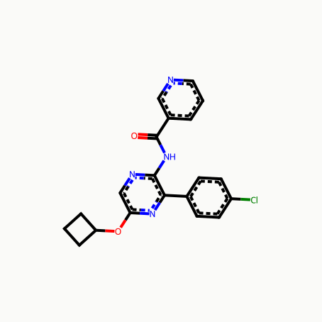 O=C(Nc1ncc(OC2CCC2)nc1-c1ccc(Cl)cc1)c1cccnc1